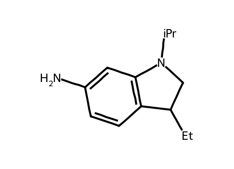 CCC1CN(C(C)C)c2cc(N)ccc21